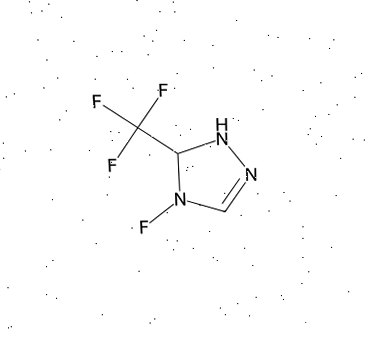 FN1C=NNC1C(F)(F)F